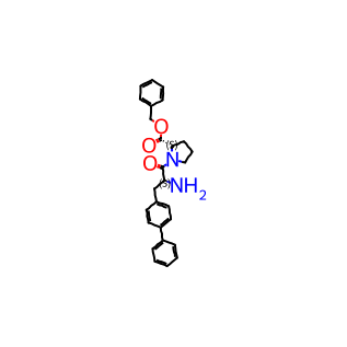 N[C@@H](Cc1ccc(-c2ccccc2)cc1)C(=O)N1CCC[C@H]1C(=O)OCc1ccccc1